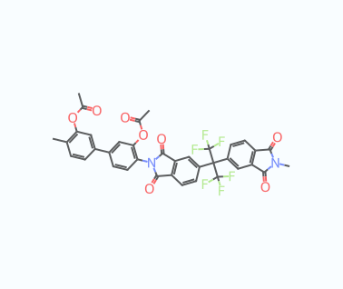 CC(=O)Oc1cc(-c2ccc(N3C(=O)c4ccc(C(c5ccc6c(c5)C(=O)N(C)C6=O)(C(F)(F)F)C(F)(F)F)cc4C3=O)c(OC(C)=O)c2)ccc1C